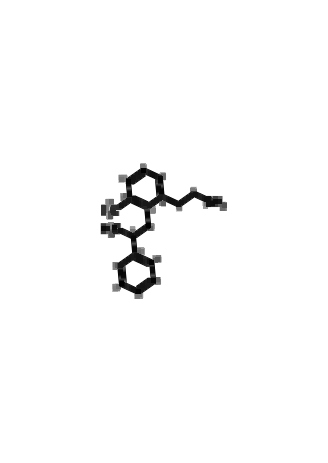 CC(Cc1c(CCN)cccc1C(F)(F)F)c1ccccc1